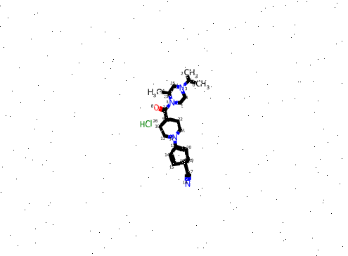 CC(C)N1CCN(C(=O)C2CCN(c3ccc(C#N)cc3)CC2)C(C)C1.Cl